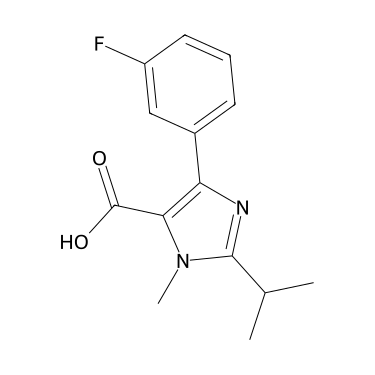 CC(C)c1nc(-c2cccc(F)c2)c(C(=O)O)n1C